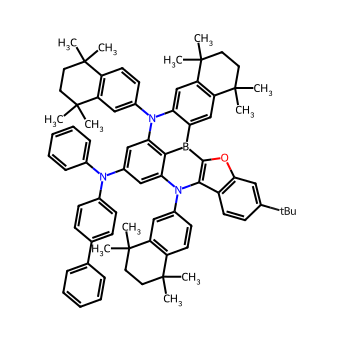 CC(C)(C)c1ccc2c3c(oc2c1)B1c2cc4c(cc2N(c2ccc5c(c2)C(C)(C)CCC5(C)C)c2cc(N(c5ccccc5)c5ccc(-c6ccccc6)cc5)cc(c21)N3c1ccc2c(c1)C(C)(C)CCC2(C)C)C(C)(C)CCC4(C)C